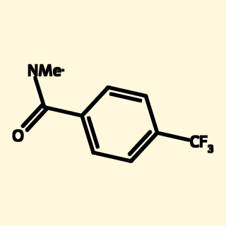 C[N]C(=O)c1ccc(C(F)(F)F)cc1